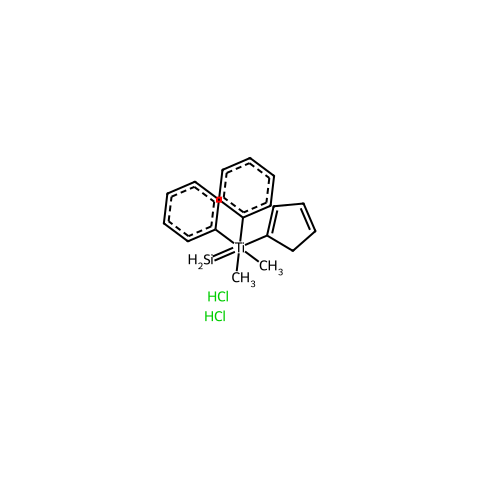 Cl.Cl.[CH3][Ti]([CH3])(=[SiH2])([C]1=CC=CC1)([c]1ccccc1)[c]1ccccc1